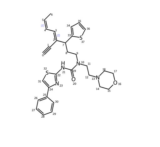 C#C/C(=C\C=C/C)C(CCN(CCN1CCOCC1)C(=O)Nc1nc(-c2ccccc2)cs1)c1cccs1